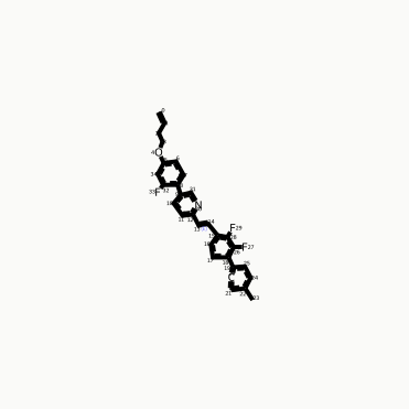 C=CCCOc1ccc(-c2ccc(/C=C/c3ccc(-c4ccc(C)cc4)c(F)c3F)nc2)c(F)c1